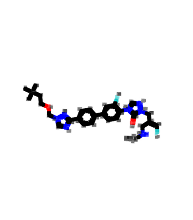 C[Si](C)(C)CCOCn1cnc(-c2ccc(-c3ccc(-n4cnn(CC(=CF)CNC(=O)O)c4=O)c(F)c3)cc2)n1